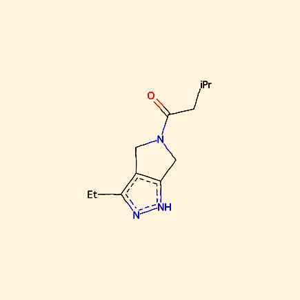 CCc1n[nH]c2c1CN(C(=O)CC(C)C)C2